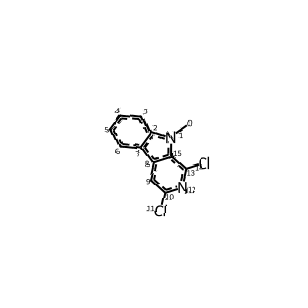 Cn1c2ccccc2c2cc(Cl)nc(Cl)c21